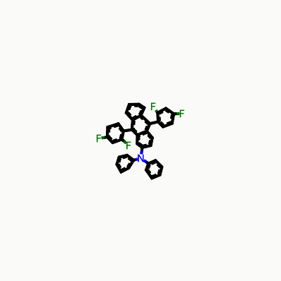 Fc1ccc(-c2c3ccccc3c(-c3ccc(F)cc3F)c3cc(N(c4ccccc4)c4ccccc4)ccc23)c(F)c1